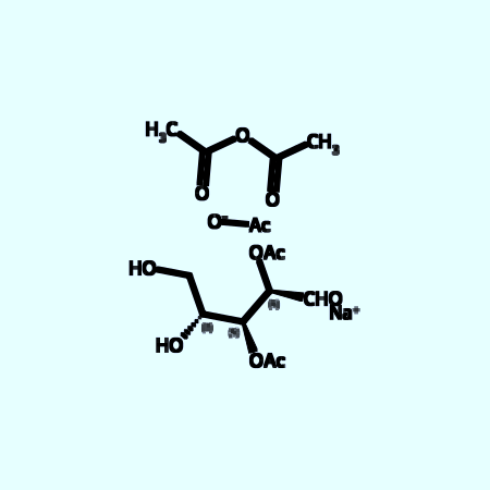 CC(=O)OC(C)=O.CC(=O)O[C@@H]([C@H](O)CO)[C@H](C=O)OC(C)=O.CC(=O)[O-].[Na+]